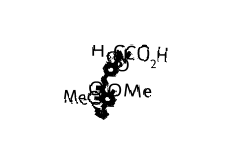 COc1ccc(-c2cccs2)c(OC)c1C(=O)C=Cc1ccc(S(=O)(=O)N(C)CC(=O)O)cc1